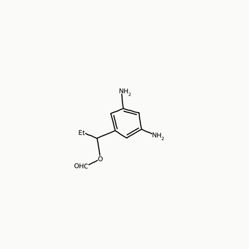 CCC(OC=O)c1cc(N)cc(N)c1